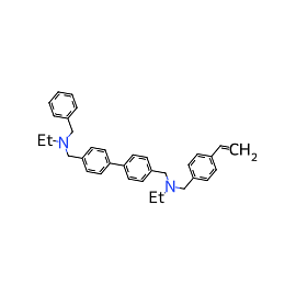 C=Cc1ccc(CN(CC)Cc2ccc(-c3ccc(CN(CC)Cc4ccccc4)cc3)cc2)cc1